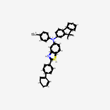 CC(C)(C)c1ccc(N(c2ccc3c(c2)C(C)(C)c2ccccc2-3)c2ccc3sc(-c4ccc(C5=CCCC=C5)cc4)nc3c2)cc1